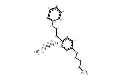 CCCCOc1ccc(CCSc2ccccc2)cc1.F.F.F.F.F